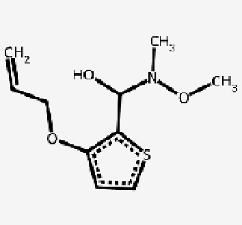 C=CCOc1ccsc1C(O)N(C)OC